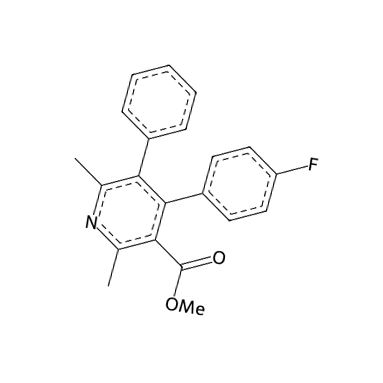 COC(=O)c1c(C)nc(C)c(-c2ccccc2)c1-c1ccc(F)cc1